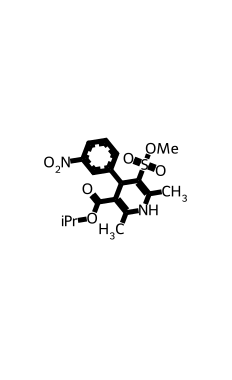 COS(=O)(=O)C1=C(C)NC(C)=C(C(=O)OC(C)C)C1c1cccc([N+](=O)[O-])c1